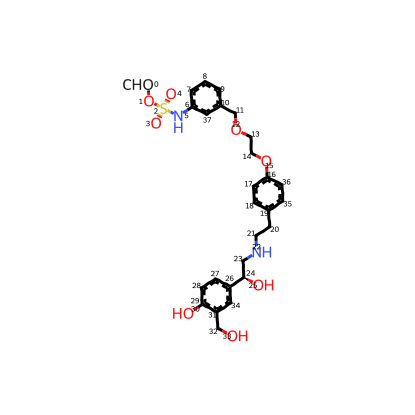 O=COS(=O)(=O)Nc1cccc(COCCOc2ccc(CCNC[C@@H](O)c3ccc(O)c(CO)c3)cc2)c1